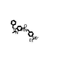 CC[S+]([O-])c1ccc(CNC(=O)c2ccc3c(c2)nc(C)n3Cc2ccccc2)cc1